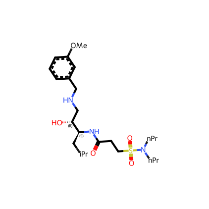 CCCN(CCC)S(=O)(=O)CCC(=O)N[C@@H](CC(C)C)[C@H](O)CNCc1cccc(OC)c1